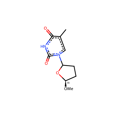 CO[C@@H]1CCC(n2cc(C)c(=O)[nH]c2=O)O1